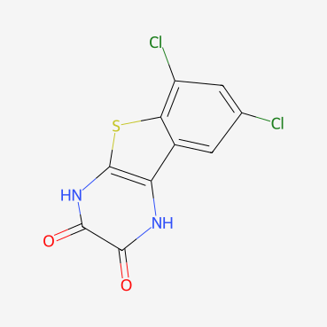 O=c1[nH]c2sc3c(Cl)cc(Cl)cc3c2[nH]c1=O